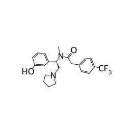 CN(C(=O)Cc1ccc(C(F)(F)F)cc1)[C@@H](CN1CCCC1)c1cccc(O)c1